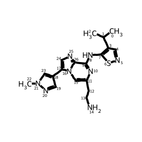 CC(C)c1cnsc1Nc1nc(CCN)cn2c(-c3cnn(C)c3)cnc12